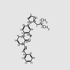 CN(C)Cc1nccn1-c1ccc(N2CC=CN(N=Cc3ccccc3)C2=O)c(F)c1